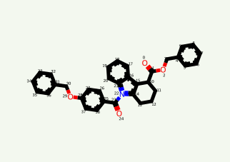 O=C(OCc1ccccc1)C1CCCc2c1c1ccccc1n2C(=O)c1ccc(OCc2ccccc2)cc1